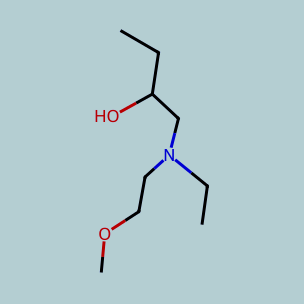 CCC(O)CN(CC)CCOC